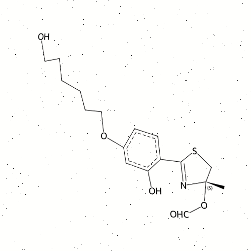 C[C@]1(OC=O)CSC(c2ccc(OCCCCCCO)cc2O)=N1